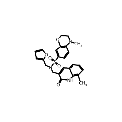 Cc1cccc2cc(CN(Cc3ccco3)S(=O)(=O)c3ccc4c(c3)OCCN4C)c(=O)[nH]c12